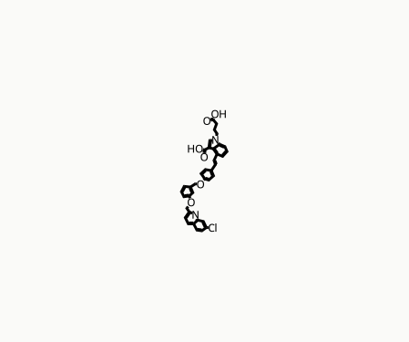 O=C(O)CCCn1cc(C(=O)O)c2c(/C=C/c3ccc(OCc4cccc(OCc5ccc6ccc(Cl)cc6n5)c4)cc3)cccc21